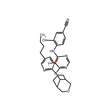 CCCCc1cnc(N2CC3COCC(C2)C3Oc2ncnc(Nc3ccc(C#N)cc3Cl)c2F)nc1